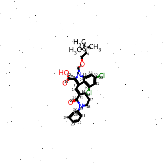 C[Si](C)(C)CCOCn1c(C(=O)O)c(C=C2CCCN(c3ccccc3)C2=O)c2c(Cl)cc(Cl)cc21